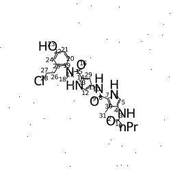 CCCC(=O)Nc1c[nH]c(C(=O)Nc2c[nH]c(C(=O)N(C)c3ccc(O)cc3CCCl)c2)c1C